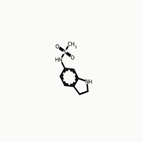 CS(=O)(=O)Nc1ccc2c(c1)NCC2